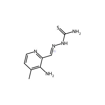 Cc1ccnc(/C=N/NC(N)=S)c1N